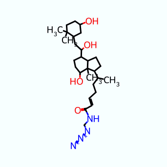 CC(CC/C=C/C(=O)NCN=[N+]=[N-])C1CCC2C(C(O)CC3CC(O)CCC3(C)C)CCC(O)C12C